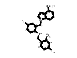 O=C(O)c1cccc2c1ccn2Cc1cc(F)ccc1OCc1ccc(F)cc1C(F)(F)F